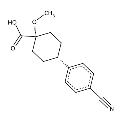 CO[C@]1(C(=O)O)CC[C@H](c2ccc(C#N)cc2)CC1